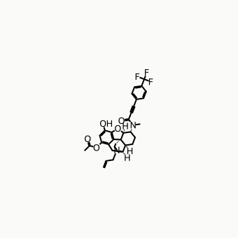 C=CCN1CC[C@]23c4c5c(OC(C)=O)cc(O)c4O[C@H]2[C@H](N(C)C(=O)C#Cc2ccc(C(F)(F)F)cc2)CC[C@H]3[C@H]1C5